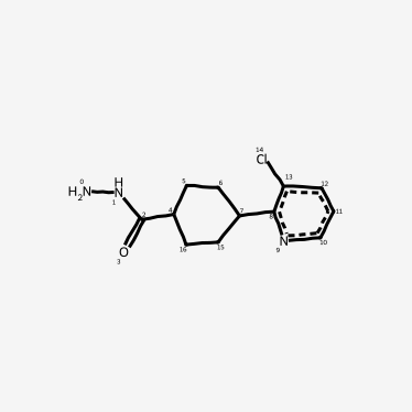 NNC(=O)C1CCC(c2ncccc2Cl)CC1